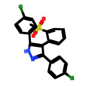 CS(=O)(=O)c1ccccc1-c1c(-c2ccc(Cl)cc2)n[nH]c1-c1ccc(Cl)cc1